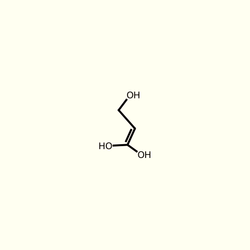 OCC=C(O)O